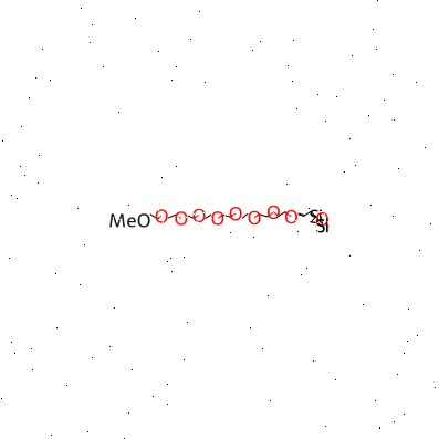 COCCOCCOCCOCCOCCOCCOCCOCCO/C=C/C[Si](C)(C)O[Si](C)(C)C